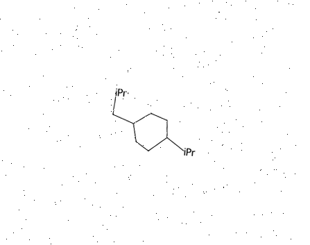 C[C](C)CC1CCC(C(C)C)CC1